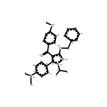 COc1ccc(C(=O)c2c(OCc3ccccc3)nn(C(C)C)c2-c2ccc(N(C)C)cc2)cc1